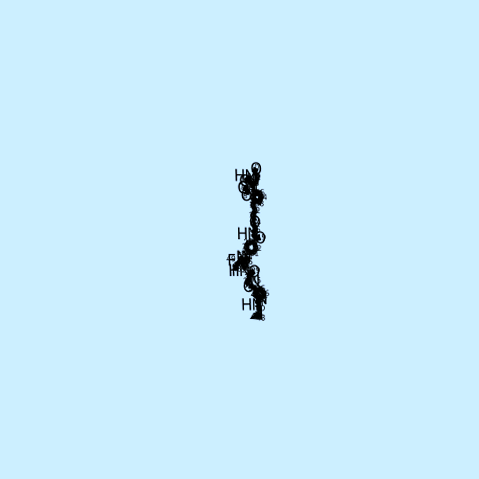 O=C1CCC(n2c(=O)oc3c(CCCOCCNC(=O)[C@H]4CC[C@H](n5cc(NC(=O)c6coc(-c7ccnc(NCC8CC8)c7)n6)c(C(F)F)n5)CC4)cccc32)C(=O)N1